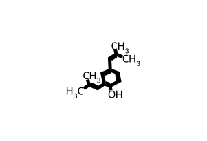 CC(C)=Cc1ccc(O)c(C=C(C)C)c1